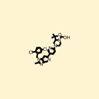 Cc1nc2cnc(-c3ccc(N4CCN(C(=O)O)C(C(C)(C)C)C4)nc3)cc2n1Cc1cc(Cl)ccc1Cl